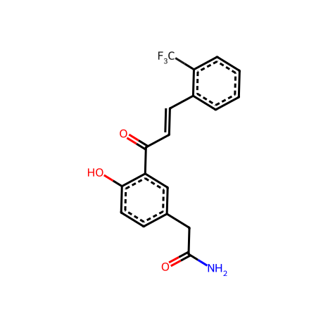 NC(=O)Cc1ccc(O)c(C(=O)/C=C/c2ccccc2C(F)(F)F)c1